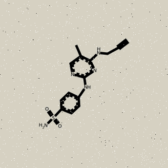 C#CCNc1nc(Nc2ccc(S(N)(=O)=O)cc2)ncc1C